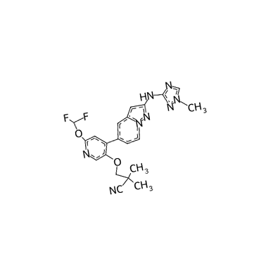 Cn1cnc(Nc2cc3cc(-c4cc(OC(F)F)ncc4OCC(C)(C)C#N)ccn3n2)n1